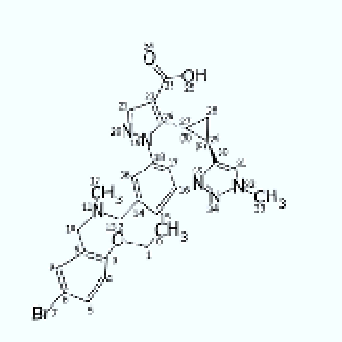 CCOc1ccc(Br)cc1CN(C)Cc1cccc(-n2ncc(C(=O)O)c2[C@@H]2C[C@H]2c2cn(C)nn2)c1